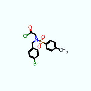 Cc1ccc(S(=O)(=O)N(CC(=O)Cl)Cc2ccc(Br)cc2)cc1